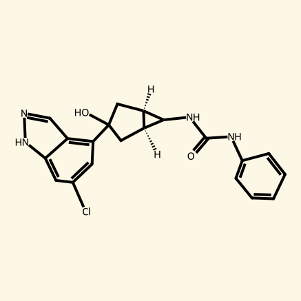 O=C(Nc1ccccc1)NC1[C@H]2CC(O)(c3cc(Cl)cc4[nH]ncc34)C[C@@H]12